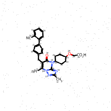 CCCc1c(Cc2ccc(-c3ccccc3C#N)cc2)c(=O)n(C2CCC(OCC(=O)O)CC2)c2nc(C)nn12